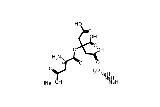 N[C@@H](CC(=O)O)C(=O)OC(CC(=O)O)(CC(=O)O)C(=O)O.O.[NaH].[NaH].[NaH].[NaH]